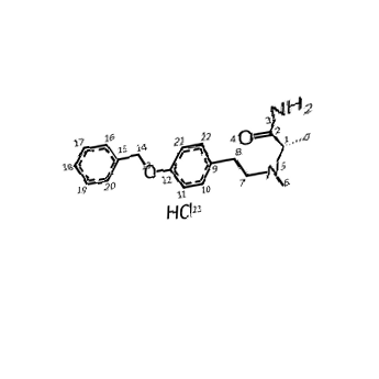 C[C@@H](C(N)=O)N(C)CCc1ccc(OCc2ccccc2)cc1.Cl